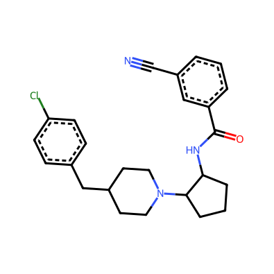 N#Cc1cccc(C(=O)NC2CCCC2N2CCC(Cc3ccc(Cl)cc3)CC2)c1